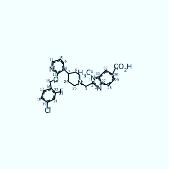 Cn1c(CN2CCC(c3cccnc3OCc3ccc(Cl)cc3F)CC2)nc2ccc(C(=O)O)cc21